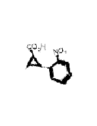 O=C(O)[C@@H]1C[C@H]1c1ccccc1[N+](=O)[O-]